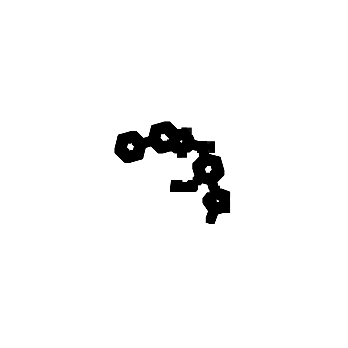 COc1cc(Nc2nc3ccc(-c4ccccc4)cn3n2)ccc1-n1cnc(C)c1